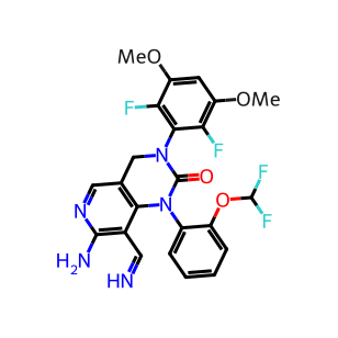 COc1cc(OC)c(F)c(N2Cc3cnc(N)c(C=N)c3N(c3ccccc3OC(F)F)C2=O)c1F